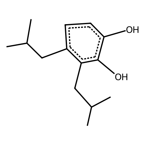 CC(C)Cc1ccc(O)c(O)c1CC(C)C